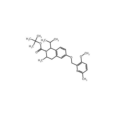 COc1ccc(C)nc1COc1ccc2c(c1)CC(C)N(C(=O)OC(C)(C)C)C2C(C)C